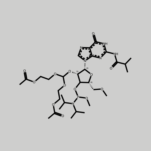 COC[C@H]1O[C@@H](n2cnc3c(=O)[nH]c(NC(=O)C(C)C)nc32)[C@@H](OC(OCCOC(C)=O)OCCOC(C)=O)C1OP(OC)N(C(C)C)C(C)C